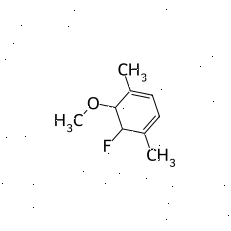 COC1C(C)=CC=C(C)C1F